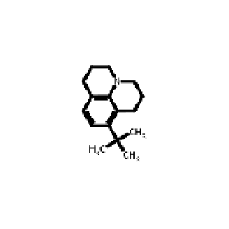 CC(C)(C)c1ccc2c3c1CCCN3CCC2